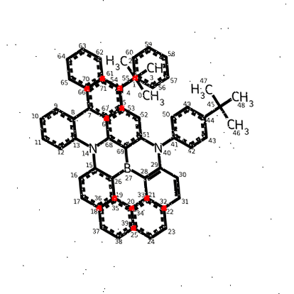 CC(C)(C)c1ccc(-c2ccccc2N2c3cccc(-c4ccccc4)c3B3C4=C(C=CCC4c4ccccc4)N(c4ccc(C(C)(C)C)cc4)c4cc(N(c5ccccc5)c5ccccc5)cc2c43)cc1